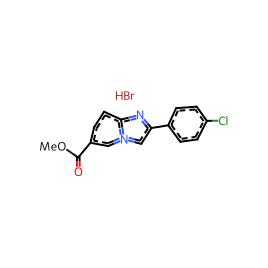 Br.COC(=O)c1ccc2nc(-c3ccc(Cl)cc3)cn2c1